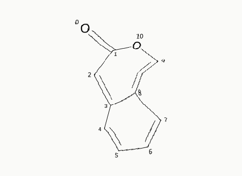 O=c1cc2ccccc2co1